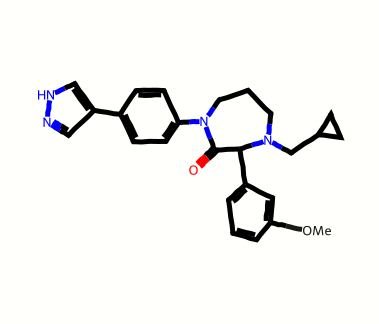 COc1cccc(C2C(=O)N(c3ccc(-c4cn[nH]c4)cc3)CCCN2CC2CC2)c1